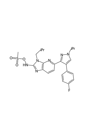 CC(C)Cn1c(NOS(C)(=O)=O)nc2ccc(-c3nn(C(C)C)cc3-c3ccc(F)cc3)nc21